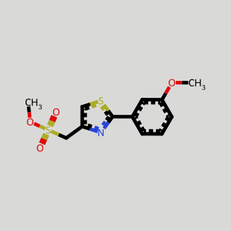 COc1cccc(-c2nc(CS(=O)(=O)OC)cs2)c1